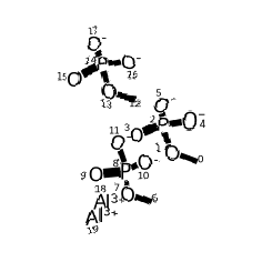 COP(=O)([O-])[O-].COP(=O)([O-])[O-].COP(=O)([O-])[O-].[Al+3].[Al+3]